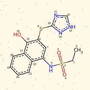 CCS(=O)(=O)Nc1cc(Sc2nc[nH]n2)c(O)c2ccccc12